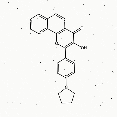 O=c1c(O)c(-c2ccc(N3CCCC3)cc2)oc2c1ccc1ccccc12